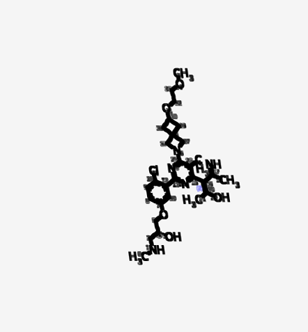 CNC[C@@H](O)COc1ccc(Cl)c(-c2nc(/C(C(C)=N)=C(\C)O)c(C)c(N3CC4(CC(OCCOC)C4)C3)n2)c1